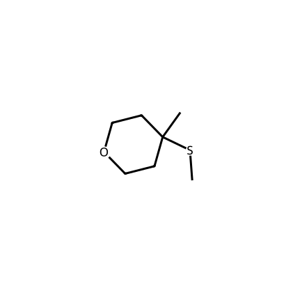 CSC1(C)CCOCC1